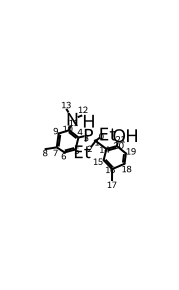 CCC(CC)(Pc1ccc(C)cc1N(C)C)c1cc(C)ccc1O